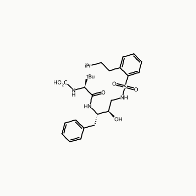 CC(C)CCc1ccccc1S(=O)(=O)NC[C@@H](O)[C@H](Cc1ccccc1)NC(=O)[C@@H](NC(=O)O)C(C)(C)C